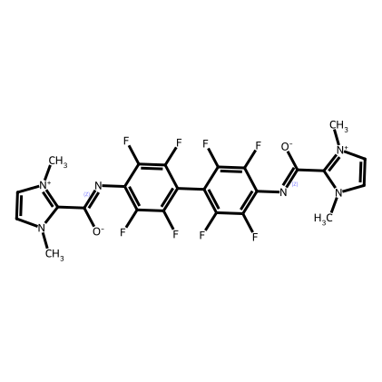 Cn1cc[n+](C)c1/C([O-])=N/c1c(F)c(F)c(-c2c(F)c(F)c(/N=C(\[O-])c3n(C)cc[n+]3C)c(F)c2F)c(F)c1F